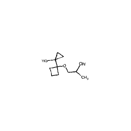 CC(O)COC1(C2(O)CC2)CCC1